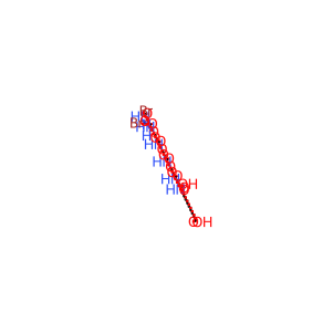 O=C(O)CCCCCCCCCCCCCCCCC(=O)N[C@@H](CCCCNC(=O)CCOCCOCCNC(=O)CCOCCOCCNC(=O)CCOCCOCCNC(=O)[C@H](CCCNC(=O)CBr)NC(=O)CBr)C(=O)O